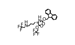 O=C(N[C@@H](CCCCNCC(F)(F)F)C(=O)OCC(F)(F)F)OCC1c2ccccc2-c2ccccc21